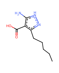 CCCCCc1n[nH]c(N)c1C(=O)O